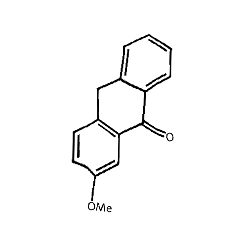 COc1ccc2c(c1)C(=O)c1ccccc1C2